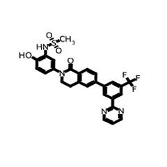 CS(=O)(=O)Nc1cc(N2CCc3cc(-c4cc(-c5ncccn5)cc(C(F)(F)F)c4)ccc3C2=O)ccc1O